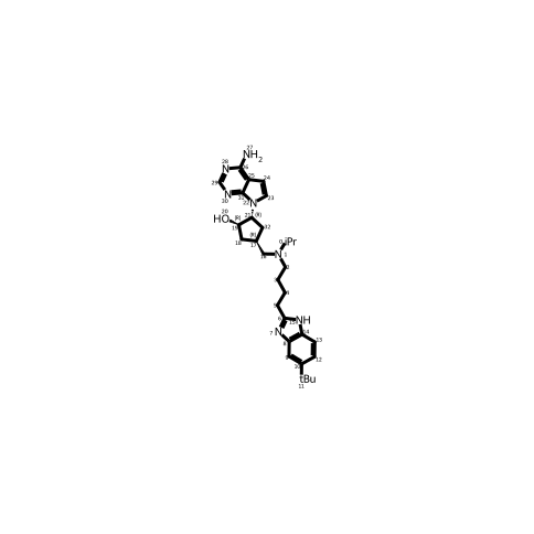 CC(C)N(CCCCc1nc2cc(C(C)(C)C)ccc2[nH]1)C[C@H]1C[C@@H](O)[C@H](n2ccc3c(N)ncnc32)C1